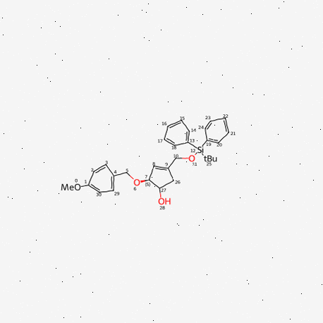 COc1ccc(CO[C@H]2C=C(CO[Si](c3ccccc3)(c3ccccc3)C(C)(C)C)CC2O)cc1